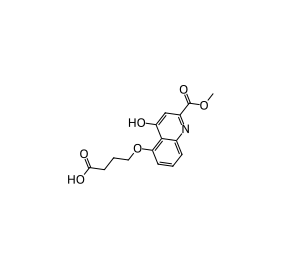 COC(=O)c1cc(O)c2c(OCCCC(=O)O)cccc2n1